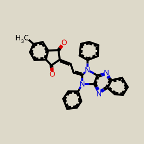 Cc1ccc2c(c1)C(=O)/C(=C/C=C1N(c3ccccc3)c3nc4ccccc4nc3N1c1ccccc1)C2=O